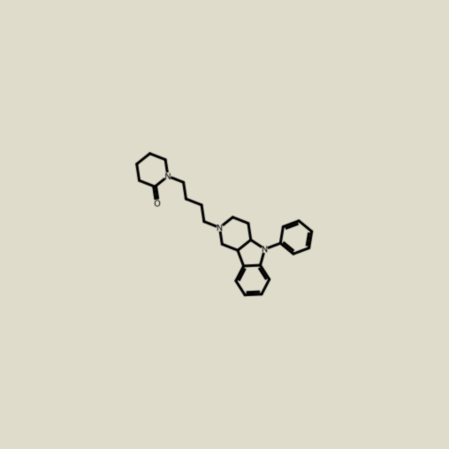 O=C1CCCCN1CCCCN1CCC2C(C1)c1ccccc1N2c1ccccc1